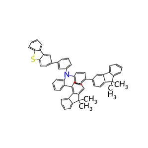 CC1(C)c2ccccc2-c2cc(-c3ccc(N(c4cccc(-c5ccc6sc7ccccc7c6c5)c4)c4ccccc4-c4cccc5c4-c4ccccc4C5(C)C)cc3)ccc21